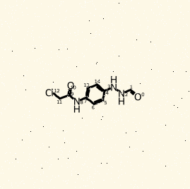 O=CNNc1ccc(NC(=O)CCl)cc1